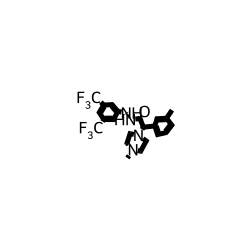 Cc1cccc(C(C(=O)NNc2cc(C(F)(F)F)cc(C(F)(F)F)c2)N2CCN(C)CC2)c1